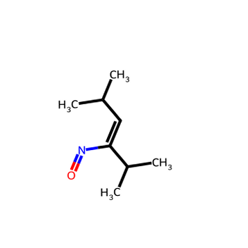 CC(C)/C=C(\N=O)C(C)C